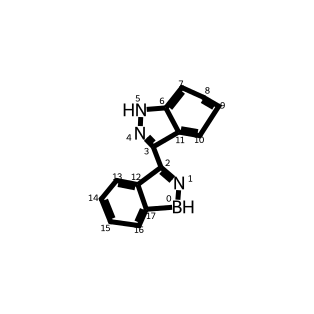 B1N=C(c2n[nH]c3ccccc23)c2ccccc21